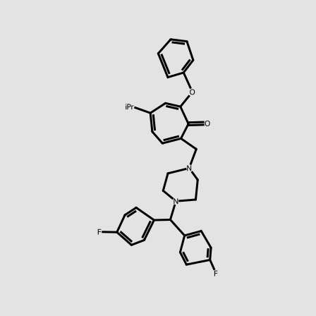 CC(C)c1ccc(CN2CCN(C(c3ccc(F)cc3)c3ccc(F)cc3)CC2)c(=O)c(Oc2ccccc2)c1